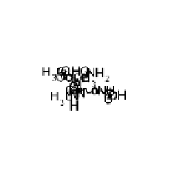 CC(=O)Nc1nc(CCc2ccc(NC=NC(=O)O)cc2)c(CN(C)C(=O)c2ccc(S(C)(=O)=O)cc2)s1.NC(=O)O